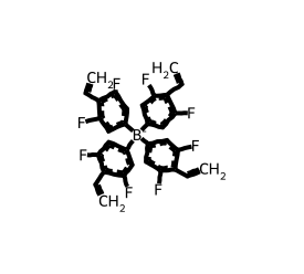 C=Cc1c(F)cc([B-](c2cc(F)c(C=C)c(F)c2)(c2cc(F)c(C=C)c(F)c2)c2cc(F)c(C=C)c(F)c2)cc1F